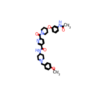 COc1ccc(CN2CCC(NC(=O)c3ccc(C(=O)N4CCC(Oc5cccc(NC(C)=O)c5)CC4)nc3)CC2)cc1